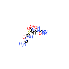 C[C@@H](NC(=O)Cn1cnnn1)[C@H]1C(=O)N2C(C(=O)O)=C(S[C@@H]3CN[C@H](C(=O)N4CC[C@@H](N)C4)C3)[C@H](C)[C@H]12